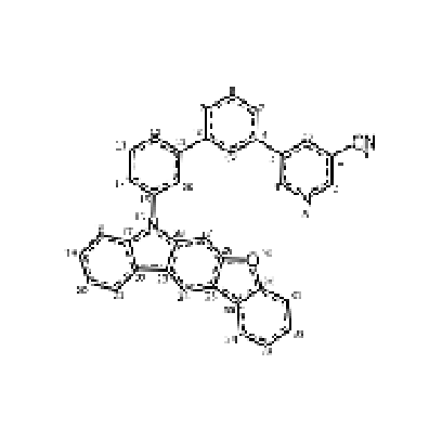 N#Cc1cncc(-c2cccc(-c3cccc(-n4c5ccccc5c5cc6c(cc54)oc4ccccc46)c3)c2)c1